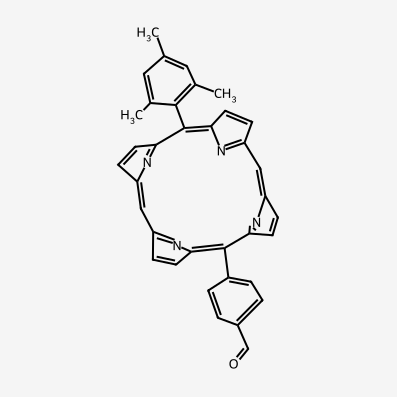 Cc1cc(C)c(C2=C3C=CC(=N3)C=C3C=CC(=N3)C(c3ccc(C=O)cc3)=C3C=CC(=N3)C=C3C=CC2=N3)c(C)c1